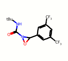 CC(C)(C)NC(=O)N1OC1c1cc(C(F)(F)F)cc(C(F)(F)F)c1